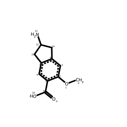 COc1cc2c(cc1C(=O)O)CC(N)C2